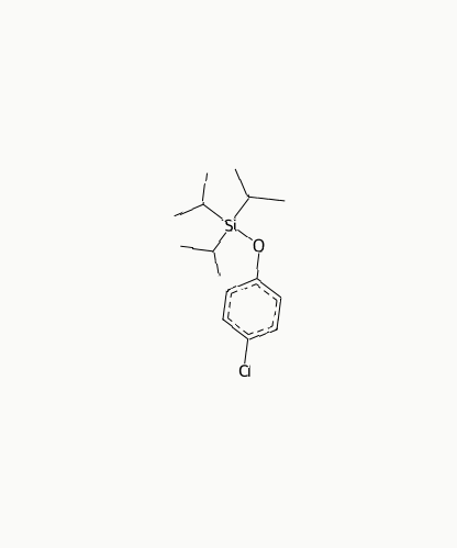 CC(C)[Si](Oc1ccc(Cl)cc1)(C(C)C)C(C)C